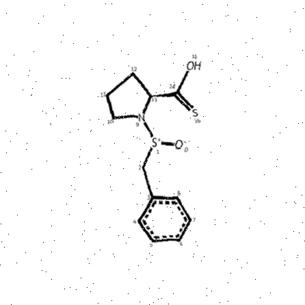 [O-][S+](Cc1ccccc1)N1CCC[C@H]1C(O)=S